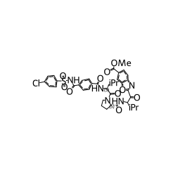 COC(=O)c1ccc2nc(C(=O)C(NC(=O)[C@@H]3CCCN3C(=O)[C@@H](NC(=O)c3ccc(C(=O)NS(=O)(=O)c4ccc(Cl)cc4)cc3)C(C)C)C(C)C)oc2c1